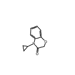 O=C1COc2ccccc2N1C1CC1